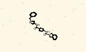 O=C(Nc1cnn(Cc2ccccc2)c1)c1ccc(NC(=O)N2Cc3ccccc3C2)cc1